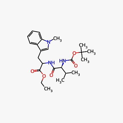 CCOC(=O)C(Cc1cn(C)c2ccccc12)NC(=O)[C@@H](NC(=O)OC(C)(C)C)C(C)C